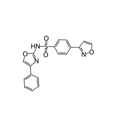 O=S(=O)(Nc1nc(-c2ccccc2)co1)c1ccc(-c2ccon2)cc1